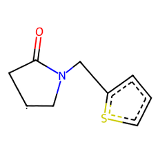 O=C1C[CH]CN1Cc1cccs1